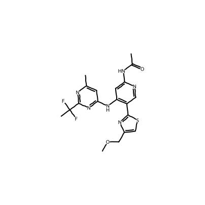 COCc1csc(-c2cnc(NC(C)=O)cc2Nc2cc(C)nc(C(C)(F)F)n2)n1